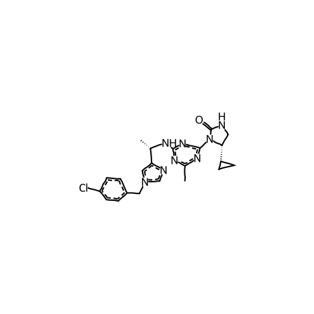 Cc1nc(N[C@@H](C)c2cn(Cc3ccc(Cl)cc3)cn2)nc(N2C(=O)NC[C@@H]2C2CC2)n1